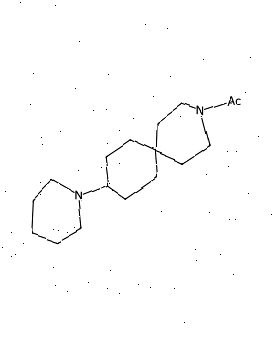 CC(=O)N1CCC2(CCC(N3CCCCC3)CC2)CC1